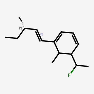 CC[C@H](C)/C=C/C1=CC=CC(C(C)F)C1C